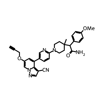 C#CCOc1cc(-c2ccc(N3CCC(C)(C(C(N)=O)c4ccc(OC)cc4)CC3)nc2)c2c(C#N)cnn2c1